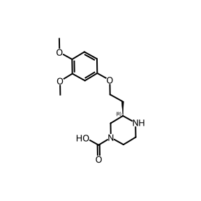 COc1ccc(OCC[C@@H]2CN(C(=O)O)CCN2)cc1OC